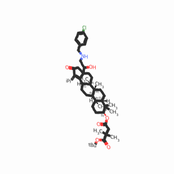 CC(C)C1=C2[C@H]3CC[C@@H]4[C@@]5(C)CC[C@H](OC(=O)CC(C)(C)C(=O)OC(C)(C)C)C(C)(C)[C@H]5CC[C@@]4(C)[C@]3(C)CCC2(C(O)CNCc2ccc(Cl)cc2)CC1=O